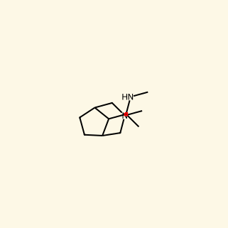 CNC(C)C1C2CCC1CN(C)C2